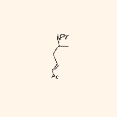 CC(=O)C=CCC(C)C(C)C